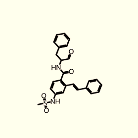 CS(=O)(=O)Nc1ccc(C(=O)NC(C=O)Cc2ccccc2)c(C=Cc2ccccc2)c1